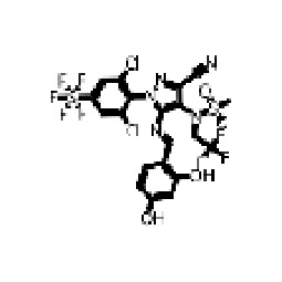 CS(=O)(=O)N(CC(F)(F)F)c1c(C#N)nn(-c2c(Cl)cc(S(F)(F)(F)(F)F)cc2Cl)c1/N=C/c1ccc(O)cc1O